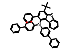 CC(C)(C)c1cc(-c2ccccc2)c(N(c2ccc(-c3ccccc3)cc2)c2ccc(-c3ccccc3)cc2)c2c1sc1ccccc12